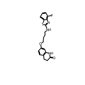 O=C1CCc2ccc(OCCCCNc3nc4c(F)cccc4s3)cc2N1